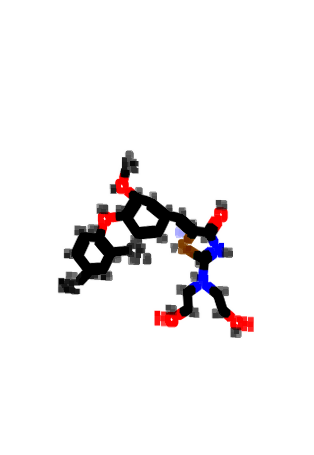 CCOc1cc(/C=C2\SC(N(CCO)CCO)=NC2=O)ccc1Oc1ccc(C#N)cc1C(F)(F)F